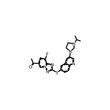 CC(=O)c1cc(F)c2nc(Sc3ccc4ncc(N5CCN(C(C)C)C5)cc4c3)nn2c1